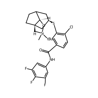 CC(C)(C)[Si](C)(C)O[C@@H]1C2CC[C@H]1C[C@H](Sc1cc(C(=O)Nc3cc(F)c(F)c(F)c3)ccc1Cl)C2